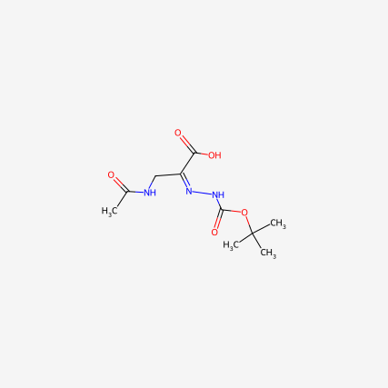 CC(=O)NCC(=NNC(=O)OC(C)(C)C)C(=O)O